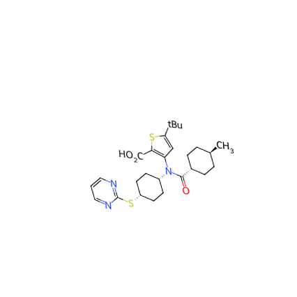 CC(C)(C)c1cc(N(C(=O)[C@H]2CC[C@H](C)CC2)[C@H]2CC[C@@H](Sc3ncccn3)CC2)c(C(=O)O)s1